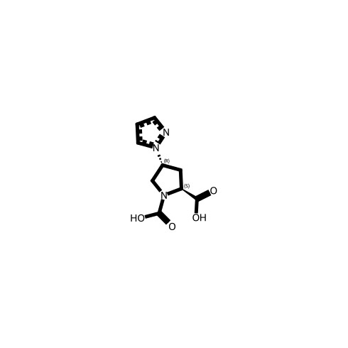 O=C(O)[C@@H]1C[C@@H](n2cccn2)CN1C(=O)O